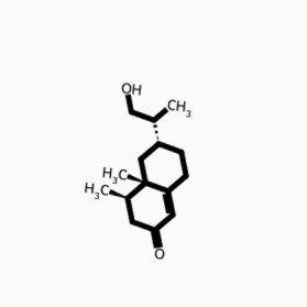 CC(CO)[C@@H]1CCC2=CC(=O)C[C@@H](C)[C@]2(C)C1